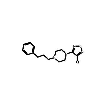 Clc1nsnc1N1CCN(C[CH]Cc2ccccc2)CC1